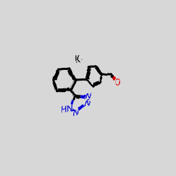 O=Cc1ccc(-c2ccccc2-c2nnn[nH]2)cc1.[K]